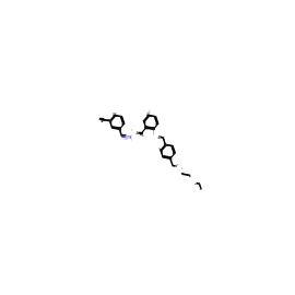 CCSCCNCc1ccc(C(=O)Nc2ccc(Br)cc2C(=O)N/N=C\c2ccc(Cl)c(C(F)(F)F)c2)cc1